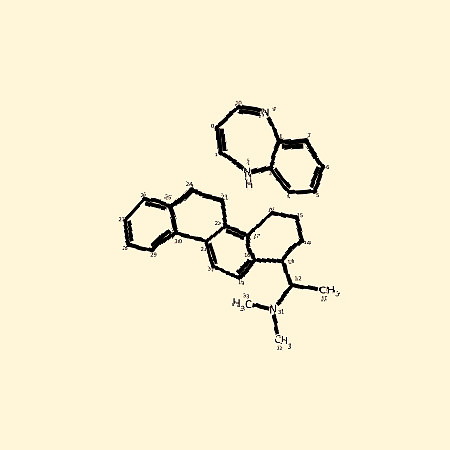 C1=CNc2ccccc2N=C1.CC(C1CCCc2c1ccc1c2CCc2ccccc2-1)N(C)C